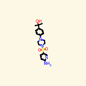 CC(C)(O)c1ccc(N2CCN(S(=O)(=O)c3ccc(N)nc3)CC2)cc1